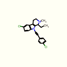 CCC1c2c(c3cc(Cl)ccc3n2C#Cc2ccc(Cl)cc2)CCN1C